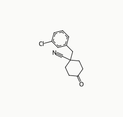 N#CC1(Cc2cccc(Cl)c2)CCC(=O)CC1